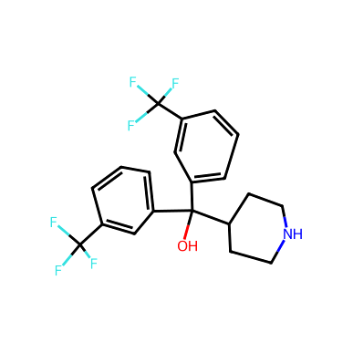 OC(c1cccc(C(F)(F)F)c1)(c1cccc(C(F)(F)F)c1)C1CCNCC1